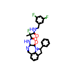 CC(F)(C(=O)NCc1cc(F)cc(F)c1)C(=O)NC1N=Cc2cccc3c2N(C1=O)C(c1ccccc1)C3